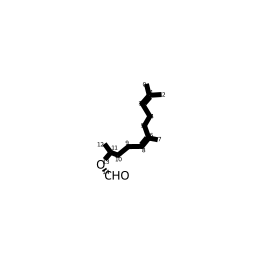 CC(C)=CCCC(C)=CCCC(C)OC=O